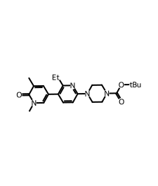 CCc1nc(N2CCN(C(=O)OC(C)(C)C)CC2)ccc1-c1cc(C)c(=O)n(C)c1